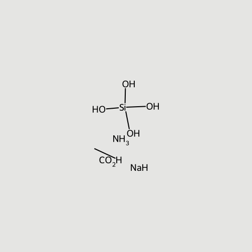 CC(=O)O.N.O[Si](O)(O)O.[NaH]